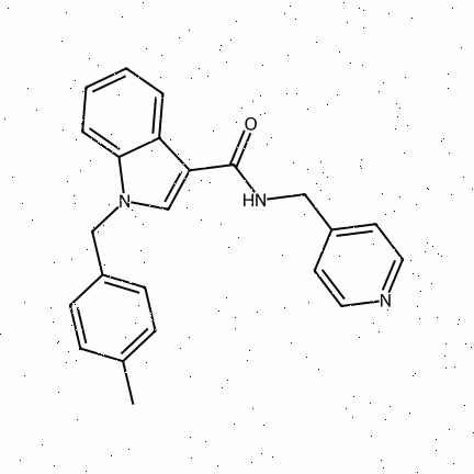 Cc1ccc(Cn2cc(C(=O)NCc3ccncc3)c3ccccc32)cc1